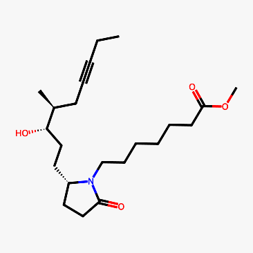 CCC#CC[C@H](C)[C@@H](O)CC[C@H]1CCC(=O)N1CCCCCCC(=O)OC